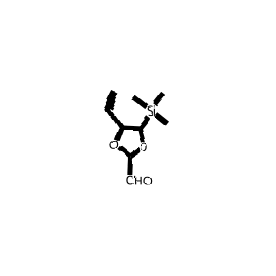 C=CC1OC(C=O)OC1[Si](C)(C)C